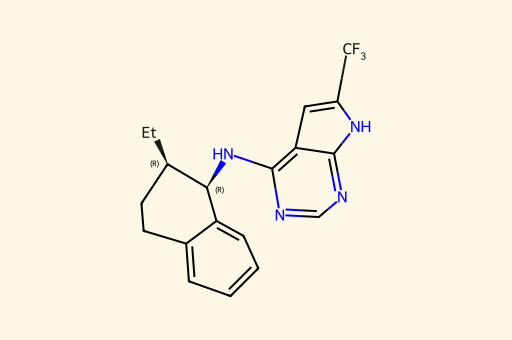 CC[C@@H]1CCc2ccccc2[C@@H]1Nc1ncnc2[nH]c(C(F)(F)F)cc12